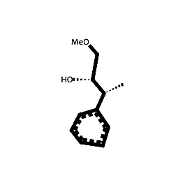 COC[C@@H](O)[C@H](C)c1ccccc1